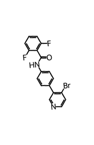 O=C(Nc1ccc(-c2cnccc2Br)cc1)c1c(F)cccc1F